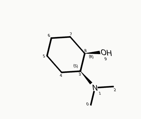 CN(C)[C@H]1CCCC[C@H]1O